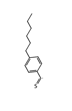 CCCCCCc1ccc([C]=S)cc1